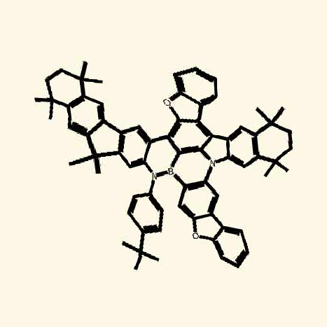 CC(C)(C)c1ccc(N2B3c4cc5oc6ccccc6c5cc4-n4c5cc6c(cc5c5c7c(oc8ccccc87)c(c3c54)-c3cc4c(cc32)C(C)(C)c2cc3c(cc2-4)C(C)(C)CCC3(C)C)C(C)(C)CCC6(C)C)cc1